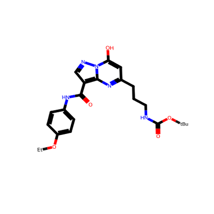 CCOc1ccc(NC(=O)c2cnn3c(O)cc(CCCNC(=O)OC(C)(C)C)nc23)cc1